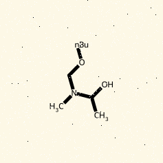 CCCCOCN(C)C(C)O